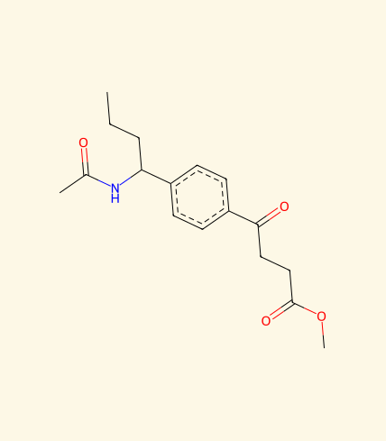 CCCC(NC(C)=O)c1ccc(C(=O)CCC(=O)OC)cc1